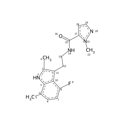 Cc1[nH]c2c(C)ccc(F)c2c1CCNC(=O)c1ccnn1C